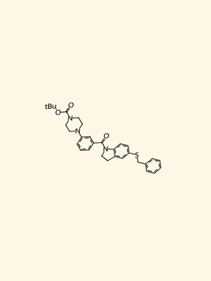 CC(C)(C)OC(=O)N1CCN(c2cccc(C(=O)N3CCc4cc(SCc5ccccc5)ccc43)c2)CC1